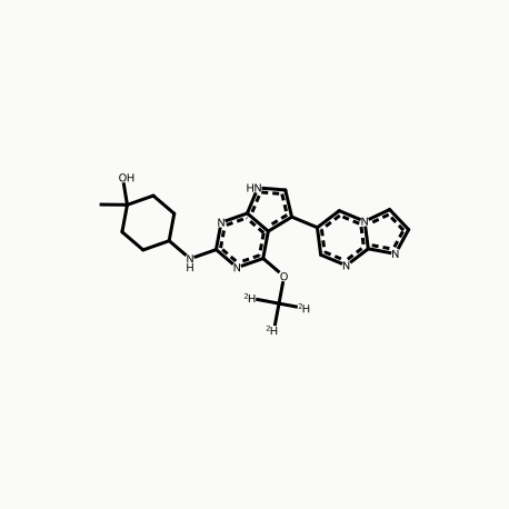 [2H]C([2H])([2H])Oc1nc(NC2CCC(C)(O)CC2)nc2[nH]cc(-c3cnc4nccn4c3)c12